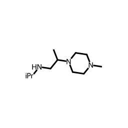 CC(C)NCC(C)N1CCN(C)CC1